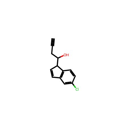 C#CCC(O)C1C=Cc2cc(Cl)ccc21